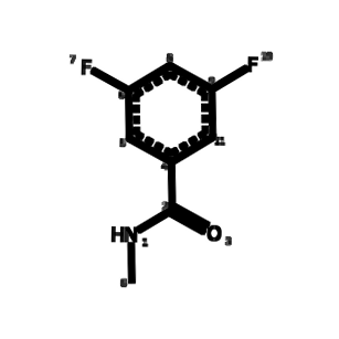 CNC(=O)c1cc(F)cc(F)c1